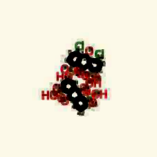 O=C1c2c(Cl)ccc(S(=O)(=O)O)c2C(=O)c2c(S(=O)(=O)O)ccc(Cl)c21.O=C1c2cccc(S(=O)(=O)O)c2C(=O)c2cccc(S(=O)(=O)O)c21